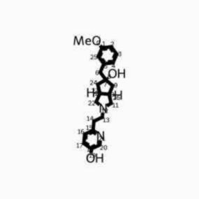 COc1cccc(C[C@]2(O)C[C@H]3CN(CCc4ccc(O)cn4)C[C@H]3C2)c1